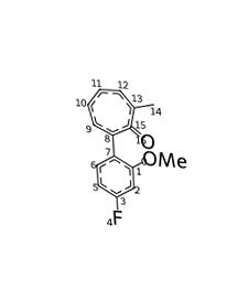 COc1cc(F)ccc1-c1ccccc(C)c1=O